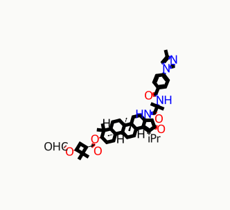 Cc1cn(-c2ccc(C(=O)NC(C)(C)C(=O)N[C@@]34CC[C@]5(C)[C@H](CC[C@@H]6[C@@]7(C)CC[C@H](OC(=O)[C@H]8C[C@@H](OC=O)C8(C)C)C(C)(C)[C@@H]7CC[C@]65C)C3=C(C(C)C)C(=O)C4)cc2)cn1